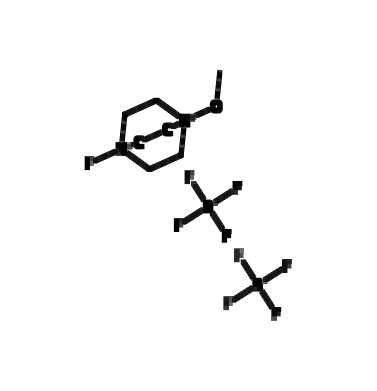 CO[N+]12CC[N+](F)(CC1)CC2.F[B-](F)(F)F.F[B-](F)(F)F